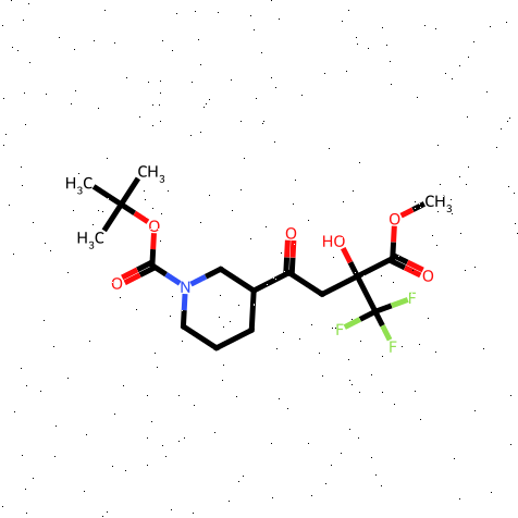 COC(=O)C(O)(CC(=O)C1CCCN(C(=O)OC(C)(C)C)C1)C(F)(F)F